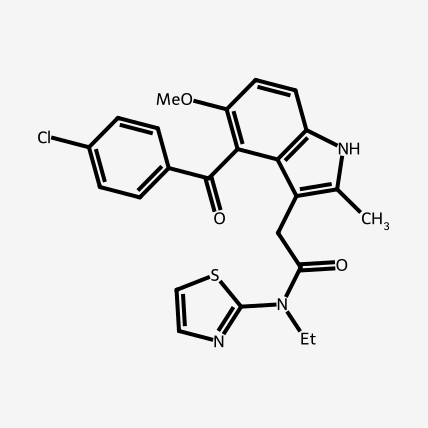 CCN(C(=O)Cc1c(C)[nH]c2ccc(OC)c(C(=O)c3ccc(Cl)cc3)c12)c1nccs1